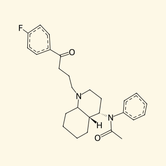 CC(=O)N(c1ccccc1)[C@H]1CCN(CCCC(=O)c2ccc(F)cc2)C2CCCC[C@H]21